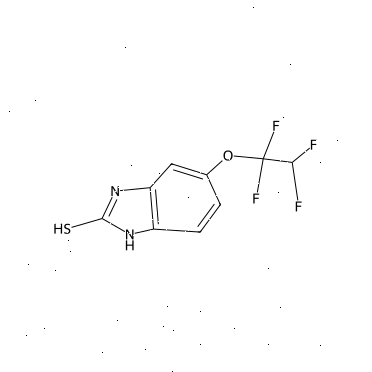 FC(F)C(F)(F)Oc1ccc2[nH]c(S)nc2c1